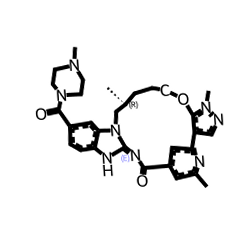 Cc1cc2cc(n1)-c1cnn(C)c1OCCC[C@@H](C)CN1/C(=N/C2=O)Nc2ccc(C(=O)N3CCN(C)CC3)cc21